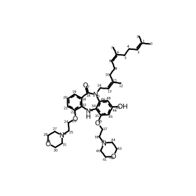 CC(C)=CCCC(C)=CCCC(C)=CCN1C(=O)c2cccc(OCCN3CCOCC3)c2Nc2c(OCCN3CCOCC3)cc(O)cc21